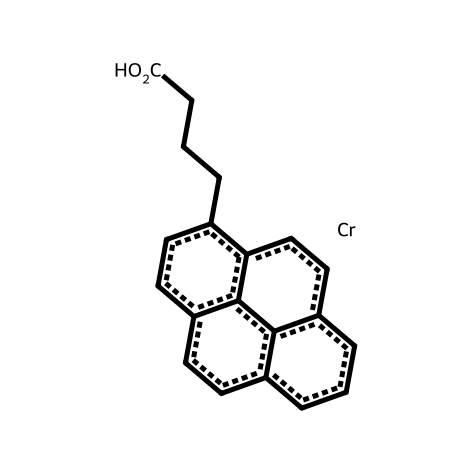 O=C(O)CCCc1ccc2ccc3cccc4ccc1c2c34.[Cr]